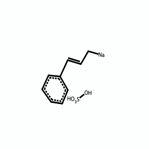 O=S(=O)(O)O.[Na][CH2]C=Cc1ccccc1